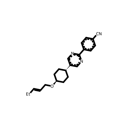 CCC=CCO[C@H]1CC[C@H](c2cnc(-c3ccc(C#N)cc3)nc2)CC1